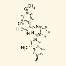 CCCN(Cc1ccc(F)cc1)c1c2c(nc3c(-c4ccc(OC)cc4Cl)c(C)nn13)CCC2